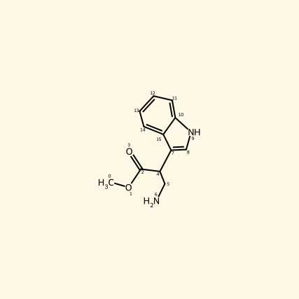 COC(=O)C(CN)c1c[nH]c2ccccc12